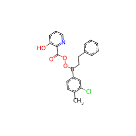 Cc1ccc(B(CCc2ccccc2)OOC(=O)c2ncccc2O)cc1Cl